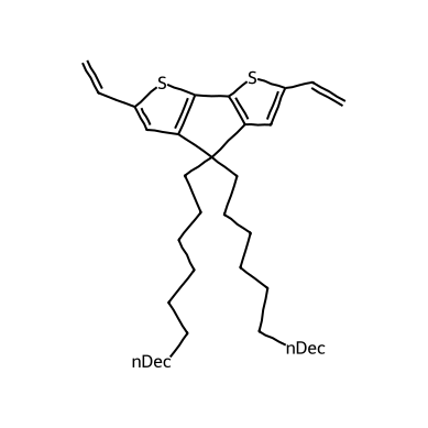 C=Cc1cc2c(s1)-c1sc(C=C)cc1C2(CCCCCCCCCCCCCCCC)CCCCCCCCCCCCCCCC